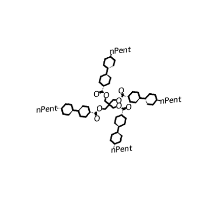 CCCCC[C@H]1CC[C@H]([C@H]2CC[C@H](C(=O)OCC(COC(=O)[C@H]3CC[C@H]([C@H]4CC[C@H](CCCCC)CC4)CC3)(COC(=O)[C@H]3CC[C@H]([C@H]4CC[C@H](CCCCC)CC4)CC3)COC(=O)[C@H]3CC[C@H]([C@H]4CC[C@H](CCCCC)CC4)CC3)CC2)CC1